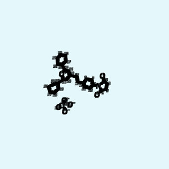 O=C1C=CC(=O)N1c1ccc(C=Cc2cc(-c3ccccc3)[o+]c(-c3ccccc3)c2)cc1.[O-][Cl+3]([O-])([O-])[O-]